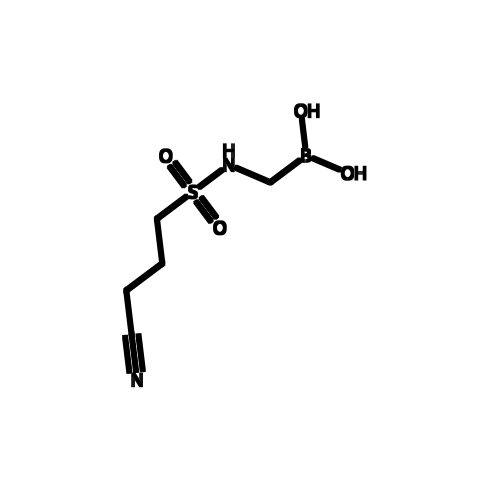 N#CCCCS(=O)(=O)NCB(O)O